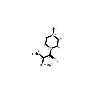 CCCCCCCC(CCCC)C(=O)N1CCN(CC)CC1